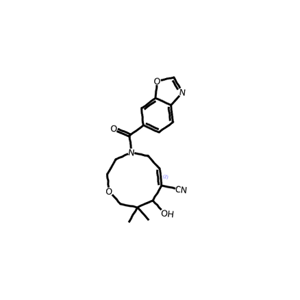 CC1(C)COCCN(C(=O)c2ccc3ncoc3c2)C/C=C(/C#N)C1O